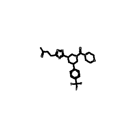 CC(=O)CCc1nc(C2CC(c3ccc(C(F)(F)F)cc3)CN(C(=O)N3CCOCC3)C2)no1